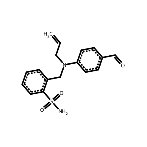 C=CCN(Cc1ccccc1S(N)(=O)=O)c1ccc(C=O)cc1